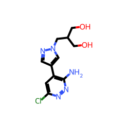 Nc1nnc(Cl)cc1-c1cnn(CC(CO)CO)c1